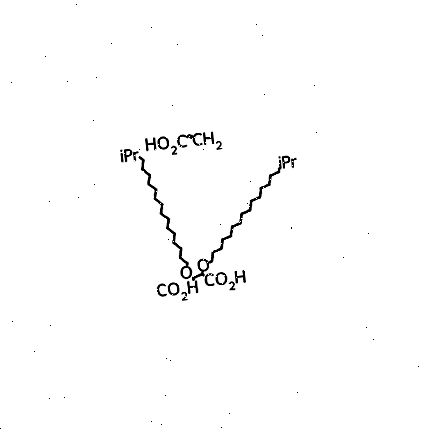 C=CC(=O)O.CC(C)CCCCCCCCCCCCCCCOC(C(=O)O)C(OCCCCCCCCCCCCCCCC(C)C)C(=O)O